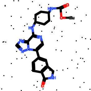 CC(C)(C)OC(=O)NC1CCC(Nc2ncc(-c3ccc4c(c3)CNC4=O)n3ncnc23)CC1